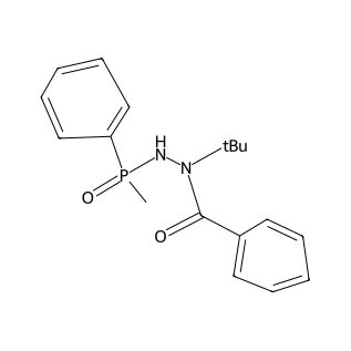 CC(C)(C)N(NP(C)(=O)c1ccccc1)C(=O)c1ccccc1